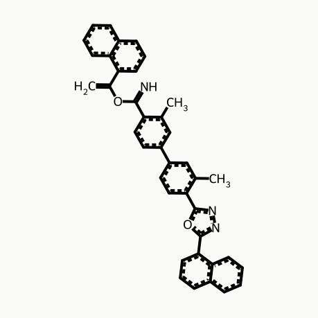 C=C(OC(=N)c1ccc(-c2ccc(-c3nnc(-c4cccc5ccccc45)o3)c(C)c2)cc1C)c1cccc2ccccc12